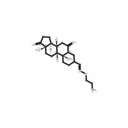 C[C@]12CCC(/C=N/OCCN)CC1C(=O)C[C@@H]1[C@H]2CC[C@]2(C)C(=O)CC[C@@H]12